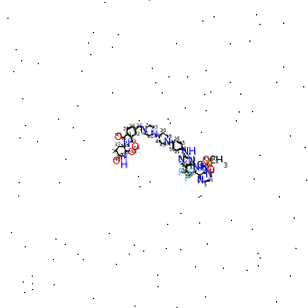 CN(c1nccnc1CNc1nc(Nc2ccc(N3CCC(N4CCN(Cc5ccc6c(c5)C(=O)N(C5CCC(=O)NC5=O)C6=O)CC4)CC3)cc2)ncc1C(F)(F)F)S(C)(=O)=O